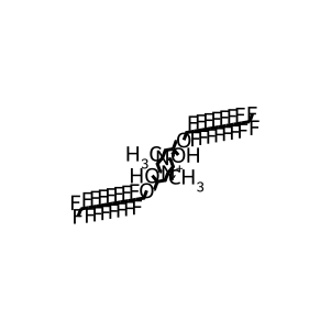 C[N+]1(CC(O)COCC(F)(F)C(F)(F)C(F)(F)C(F)(F)C(F)(F)C(F)(F)C(F)(F)C(F)F)CC[N+](C)(CC(O)COCC(F)(F)C(F)(F)C(F)(F)C(F)(F)C(F)(F)C(F)(F)C(F)(F)C(F)F)CC1